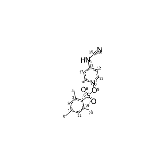 Cc1cc(C)c(S(=O)(=O)O[n+]2ccc(NC#N)cc2)c(C)c1